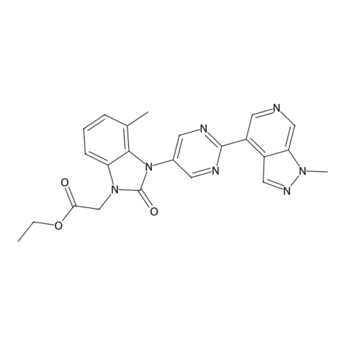 CCOC(=O)Cn1c(=O)n(-c2cnc(-c3cncc4c3cnn4C)nc2)c2c(C)cccc21